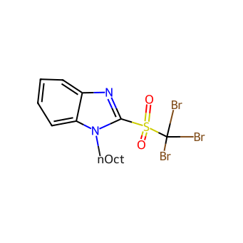 CCCCCCCCn1c(S(=O)(=O)C(Br)(Br)Br)nc2ccccc21